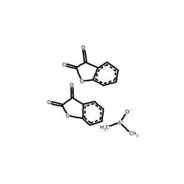 C[S+](C)[O-].O=C1Oc2ccccc2C1=O.O=C1Oc2ccccc2C1=O